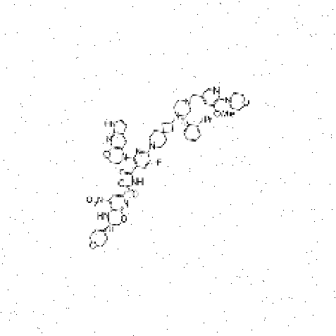 COc1cc(CN2CCN(C3CC4(CCN(c5nc(N6CCOc7nc8[nH]ccc8cc76)c(C(=O)NS(=O)(=O)c6cc([N+](=O)[O-])c7c(n6)OC[C@@H](C6CCOCC6)N7)cc5F)CC4)C3)[C@H](c3ccccc3C(C)C)C2)cnc1N1CCOCC1